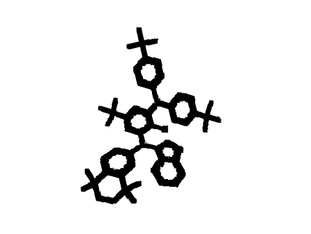 CC(C)(C)c1ccc(N(c2ccc(C(C)(C)C)cc2)c2cc(C(C)(C)C)cc(N(c3ccc4c(c3)C(C)(C)CCC4(C)C)c3coc4ccccc34)c2Cl)cc1